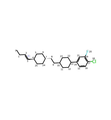 CC/C=C/[C@H]1CC[C@H](CCC2CCC(c3ccc(Cl)c(F)c3)CC2)CC1